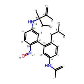 C=C(C)Nc1ccc(CC(C)C)c(-c2cc(NC(C)(CC)C(=C)C)ccc2N=O)c1